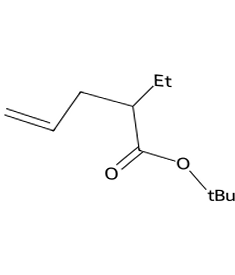 C=CCC(CC)C(=O)OC(C)(C)C